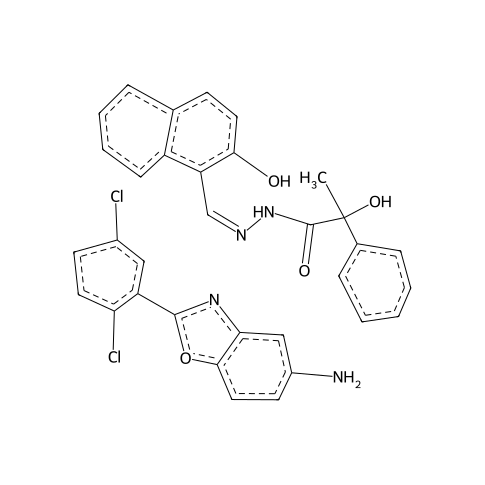 CC(O)(C(=O)N/N=C\c1c(O)ccc2ccccc12)c1ccccc1.Nc1ccc2oc(-c3cc(Cl)ccc3Cl)nc2c1